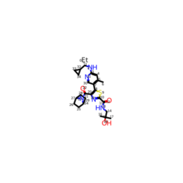 CC[C@H](Nc1cc(C)c(-c2sc(C(=O)NCC(C)(C)O)nc2C(=O)N2C3CCC2CC3)cn1)C1CC1